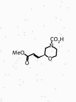 COC(=O)C=C[C@H]1CN(C(=O)O)CCO1